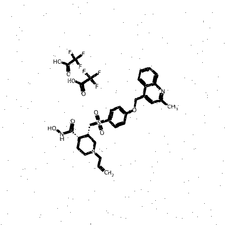 C=CCN1CC[C@H](C(=O)NO)[C@H](CS(=O)(=O)c2ccc(OCc3cc(C)nc4ccccc34)cc2)C1.O=C(O)C(F)(F)F.O=C(O)C(F)(F)F